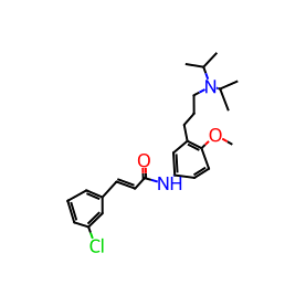 COc1ccc(NC(=O)C=Cc2cccc(Cl)c2)cc1CCCN(C(C)C)C(C)C